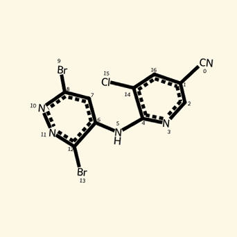 N#Cc1cnc(Nc2cc(Br)nnc2Br)c(Cl)c1